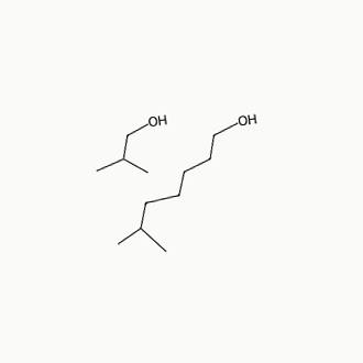 CC(C)CCCCCO.CC(C)CO